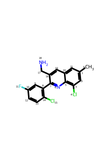 Cc1cc(Cl)c2nc(-c3cc(F)ccc3Cl)c(CN)cc2c1